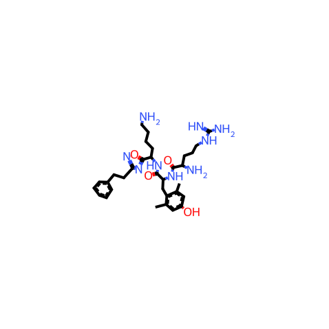 Cc1cc(O)cc(C)c1CC(NC(=O)C(N)CCCNC(=N)N)C(=O)NC(CCCCN)c1nc(CCc2ccccc2)no1